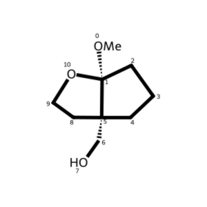 CO[C@]12CCC[C@@]1(CO)CCO2